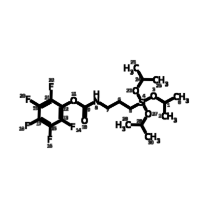 CC(C)O[Si](CCCNC(=O)Oc1c(F)c(F)c(F)c(F)c1F)(OC(C)C)OC(C)C